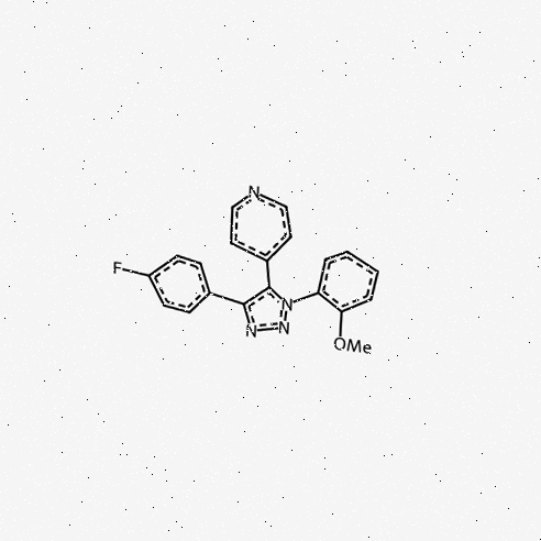 COc1ccccc1-n1nnc(-c2ccc(F)cc2)c1-c1ccncc1